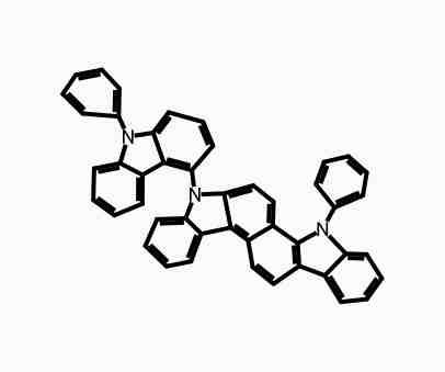 c1ccc(-n2c3ccccc3c3c(-n4c5ccccc5c5c6ccc7c8ccccc8n(-c8ccccc8)c7c6ccc54)cccc32)cc1